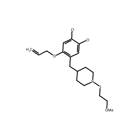 C=CCOc1cc(Cl)c(Cl)cc1CC1CCN(SCCOC)CC1